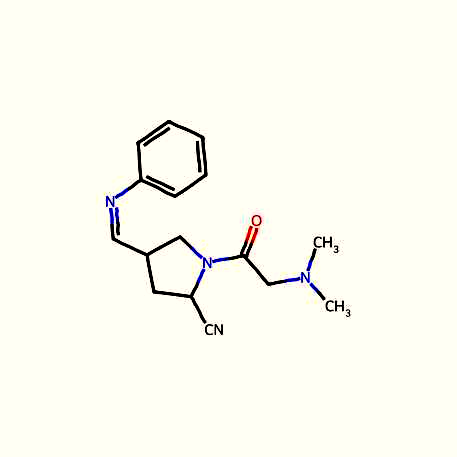 CN(C)CC(=O)N1CC(/C=N\c2ccccc2)CC1C#N